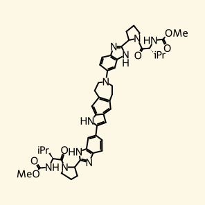 COC(=O)N[C@H](C(=O)N1CCCC1c1nc2ccc(-c3cc4cc5c(cc4[nH]3)CCN(c3ccc4nc(C6CCCN6C(=O)[C@H](NC(=O)OC)C(C)C)[nH]c4c3)CC5)cc2[nH]1)C(C)C